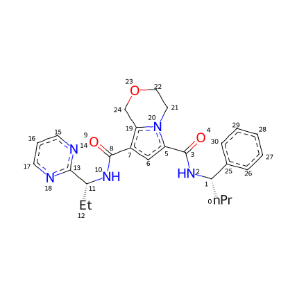 CCC[C@H](NC(=O)c1cc(C(=O)N[C@H](CC)c2ncccn2)c2n1CCOC2)c1ccccc1